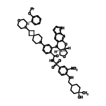 CC(C)Oc1ccccc1[C@H]1COCCN1C1CC2(CCN(c3ccc(C(=O)NS(=O)(=O)c4ccc(NCC5CCC(C)(O)CC5)c([N+](=O)[O-])c4)c(N4c5cc6cc[nH]c6nc5O[C@@H]5COC[C@H]54)c3)CC2)C1